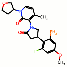 COc1cc(F)c([C@H]2CC(=O)N(c3c(C)ccn(C4CCOC4)c3=O)C2)c(P)c1